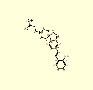 O=C(O)CCN1CCC2(CC1)COc1cc(/C=C/c3ccccc3F)ccc12